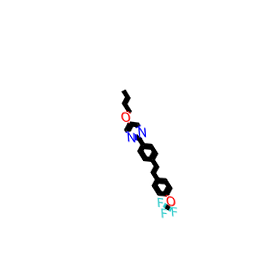 CCCCOc1cnc(-c2ccc(CCc3ccc(OC(F)(F)F)cc3)cc2)nc1